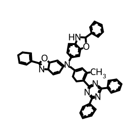 CC1=C(c2nc(-c3ccccc3)nc(-c3ccccc3)n2)CCC(N(C2=CC3OC(C4=CCCC=C4)=NC3C=C2)c2ccc3c(c2)OC(c2ccccc2)N3)=C1